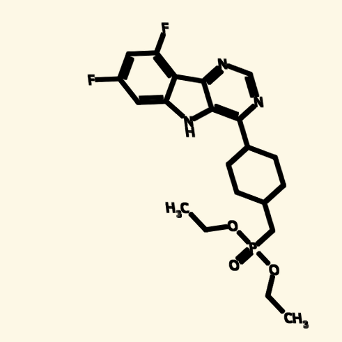 CCOP(=O)(CC1CCC(c2ncnc3c2[nH]c2cc(F)cc(F)c23)CC1)OCC